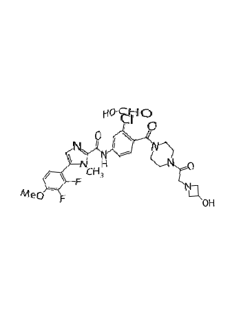 COc1ccc(-c2cnc(C(=O)Nc3ccc(C(=O)N4CCN(C(=O)CN5CC(O)C5)CC4)c(Cl)c3)n2C)c(F)c1F.O=CO